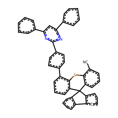 N#Cc1cccc2c1Sc1c(-c3ccc(-c4nc(-c5ccccc5)cc(-c5ccccc5)n4)cc3)cccc1C21c2ccccc2-c2ccccc21